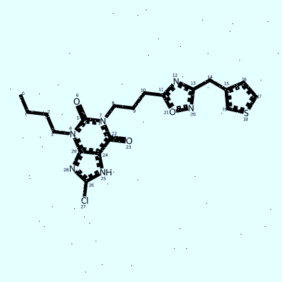 CCCCn1c(=O)n(CCCc2nc(Cc3ccsc3)no2)c(=O)c2[nH]c(Cl)nc21